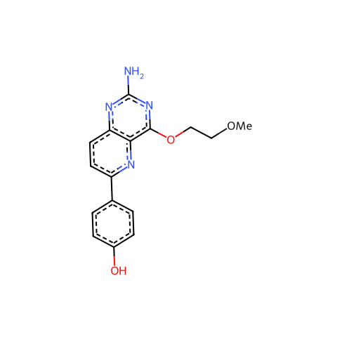 COCCOc1nc(N)nc2ccc(-c3ccc(O)cc3)nc12